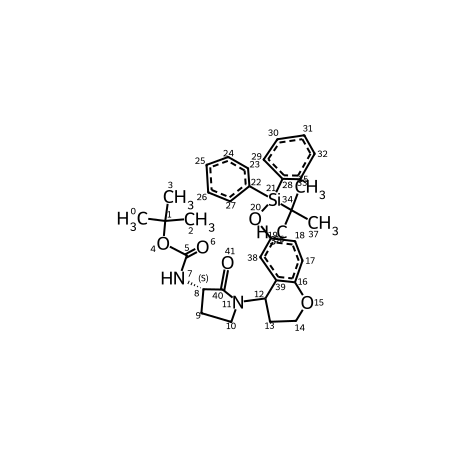 CC(C)(C)OC(=O)N[C@H]1CCN(C2CCOc3ccc(O[Si](c4ccccc4)(c4ccccc4)C(C)(C)C)cc32)C1=O